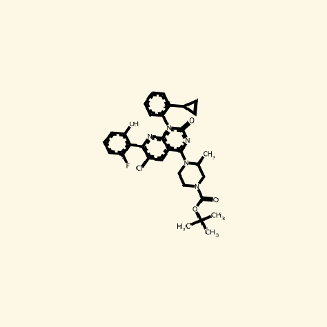 CC1CN(C(=O)OC(C)(C)C)CCN1c1nc(=O)n(-c2ccccc2C2CC2)c2nc(-c3c(O)cccc3F)c(Cl)cc12